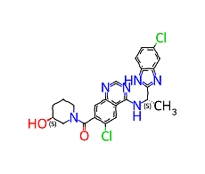 C[C@H](Nc1ncnc2cc(C(=O)N3CCC[C@H](O)C3)c(Cl)cc12)c1nc2cc(Cl)ccc2[nH]1